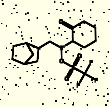 O=C1CCCCC1[S+](CC1CC2CCC1C2)OS(=O)(=O)C(F)(F)F